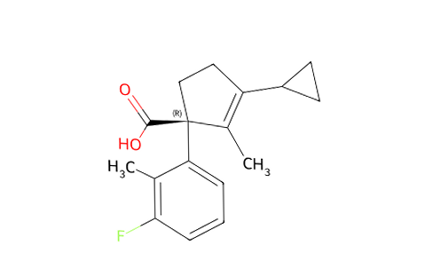 CC1=C(C2CC2)CC[C@@]1(C(=O)O)c1cccc(F)c1C